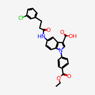 CCOC(=O)c1ccc(-n2cc(C(=O)O)c3cc(NC(=O)CCc4cccc(Cl)c4)ccc32)cc1